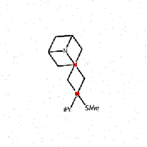 CSCCN1CC2CC(C1)N2CCOC(C)C